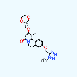 CCCn1nnnc1COc1ccc2c(c1)CCn1c-2c(C)c(OC[C@@H]2COCCO2)cc1=O